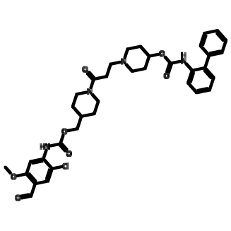 COc1cc(NC(=O)OCC2CCN(C(=O)CCN3CCC(OC(=O)Nc4ccccc4-c4ccccc4)CC3)CC2)c(Cl)cc1C=O